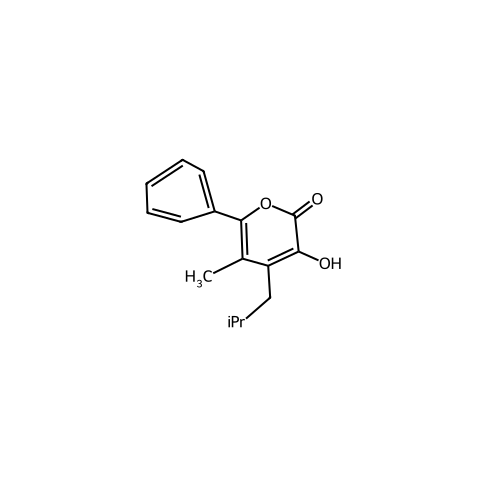 Cc1c(-c2ccccc2)oc(=O)c(O)c1CC(C)C